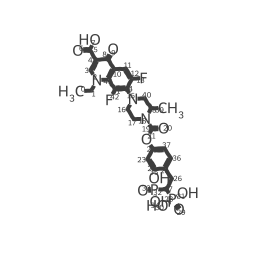 CCn1cc(C(=O)O)c(=O)c2cc(F)c(N3CCN(C(=O)Oc4ccc(CC(P(=O)(O)O)P(=O)(O)O)cc4)C(C)C3)c(F)c21